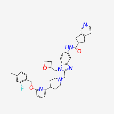 Cc1ccc(COc2cccc(C3CCN(Cc4nc5cc(NC(=O)C6Cc7ccncc7C6)ccc5n4CC4CCO4)CC3)n2)c(F)c1